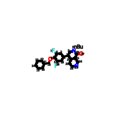 CCCCn1cc(-c2cc(F)c(OCc3ccccc3)c(F)c2)c2ccncc2c1=O